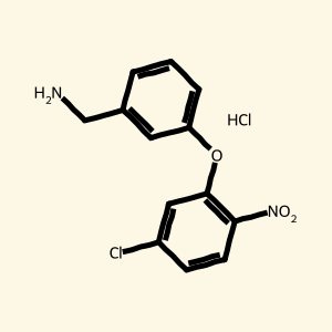 Cl.NCc1cccc(Oc2cc(Cl)ccc2[N+](=O)[O-])c1